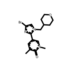 Cc1cc(-c2nc(Br)cn2CC2CCOCC2)cn(C)c1=O